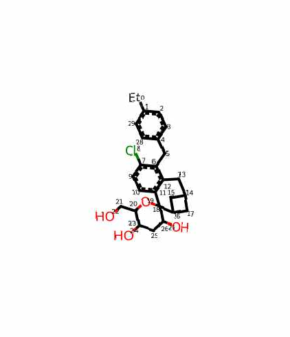 CCc1ccc(Cc2c(Cl)ccc3c2CC2CC(C2)C32OC(CO)C(O)CC2O)cc1